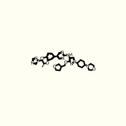 C[C@@H](Cn1cncn1)Oc1cc(-c2cnc(Nc3cn(C4CCC(N5CCOCC5)CC4)nc3OCC3CCOC3)nc2)ccc1Cl